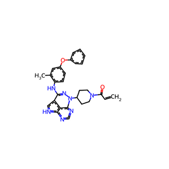 C=CC(=O)N1CCC(N2N=C(Nc3ccc(Oc4ccccc4)cc3C)c3c[nH]c4ncnc2c34)CC1